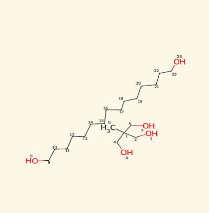 CC(CO)(CO)CO.OCCCCCCCCCCCCCCCO